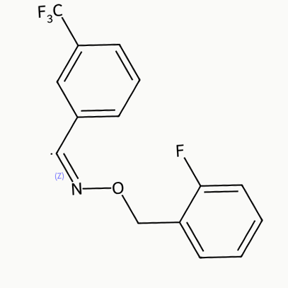 Fc1ccccc1CO/N=[C]\c1cccc(C(F)(F)F)c1